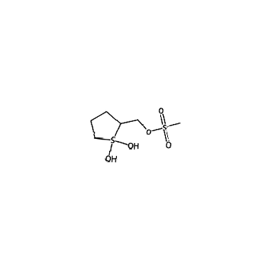 CS(=O)(=O)OCC1CCCS1(O)O